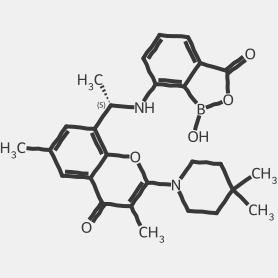 Cc1cc([C@H](C)Nc2cccc3c2B(O)OC3=O)c2oc(N3CCC(C)(C)CC3)c(C)c(=O)c2c1